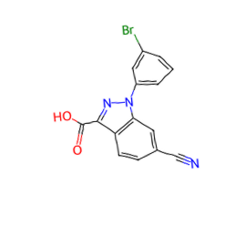 N#Cc1ccc2c(C(=O)O)nn(-c3cccc(Br)c3)c2c1